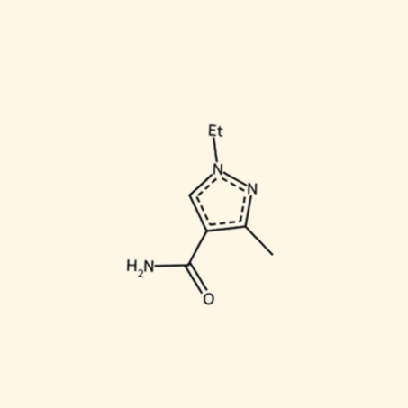 CCn1cc(C(N)=O)c(C)n1